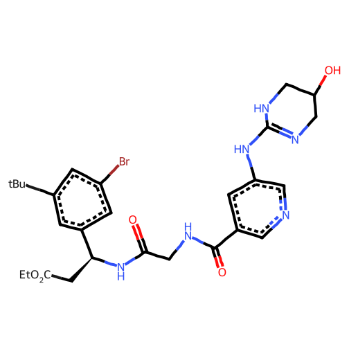 CCOC(=O)C[C@H](NC(=O)CNC(=O)c1cncc(NC2=NCC(O)CN2)c1)c1cc(Br)cc(C(C)(C)C)c1